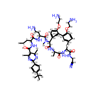 CCCC(NC(=O)c1c(C)nc(-c2ccc(C(C)(C)C)cc2)nc1C)C(=O)NC(CCN)C(=O)N(C)C1C(=O)NC(C)C(=O)NC(C(=O)NCC#N)Cc2ccc(OCCN)c(c2)-c2cc1ccc2OCCN